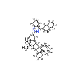 C[Si]1(C)c2ccc(-c3nc(-c4ccc5ccccc5c4)c4ccccc4n3)cc2-c2cc3c(cc21)-c1ccccc1C31C2CC3CC(C2)CC1C3